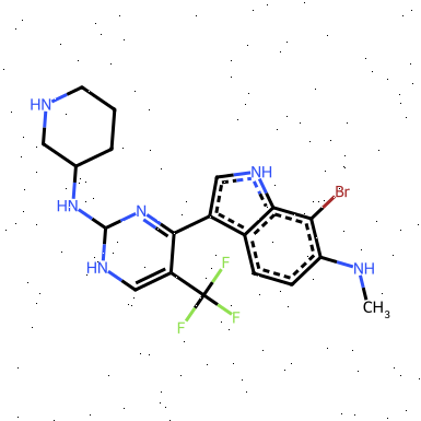 CNc1ccc2c(C3=NC(NC4CCCNC4)NC=C3C(F)(F)F)c[nH]c2c1Br